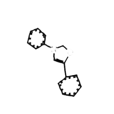 C1=C(c2ccccc2)OCN1c1ccccc1